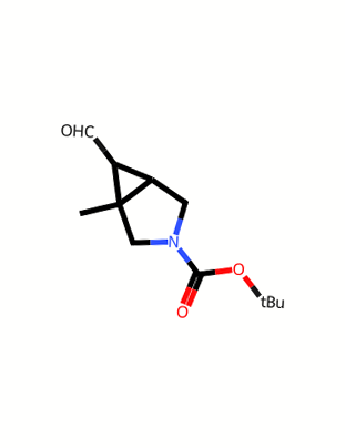 CC(C)(C)OC(=O)N1CC2C(C=O)C2(C)C1